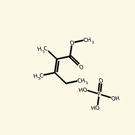 CCC(C)=C(C)C(=O)OC.O=P(O)(O)O